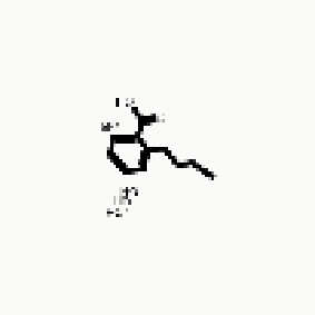 CCCCc1ccccc1C(=O)O.[Al+3].[OH-].[OH-].[OH-]